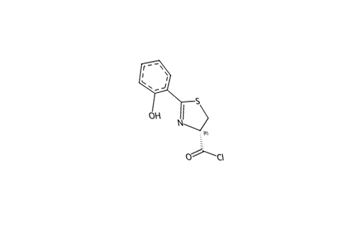 O=C(Cl)[C@H]1CSC(c2ccccc2O)=N1